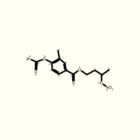 Cc1cc(C(=O)OCCC(C)O[N+](=O)[O-])ccc1OC(=O)C(C)C